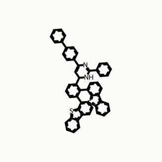 C1=C(c2ccc(-c3ccccc3)cc2)N=C(c2ccccc2)NC1c1cccc(-c2cccc3c2sc2ccccc23)c1-c1cccc2c1sc1ccccc12